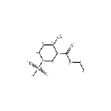 CCOC(=O)C1CN(S(C)(=O)=O)CCC1O